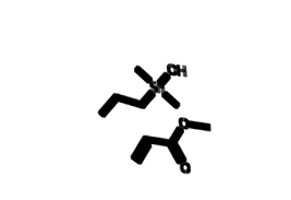 C=CC(=O)OC.CC[CH2][Sn]([CH3])([CH3])[OH]